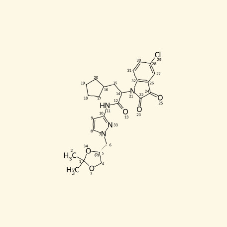 CC1(C)OC[C@@H](Cn2ccc(NC(=O)C(CC3CCCC3)N3C(=O)C(=O)c4cc(Cl)ccc43)n2)O1